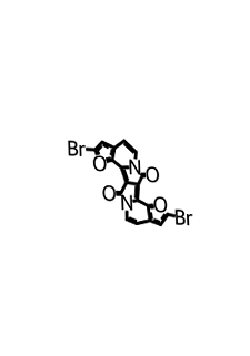 O=C1C2=C3c4oc(Br)cc4C=CN3C(=O)C2=C2c3oc(Br)cc3C=CN12